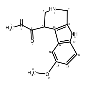 CNC(=O)C1CNCc2[nH]c3ccc(OC)cc3c21